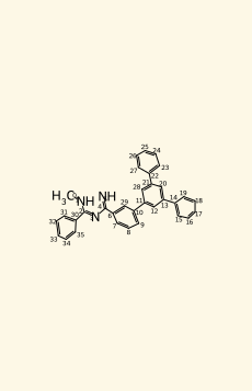 CN/C(=N\C(=N)c1cccc(-c2cc(-c3ccccc3)cc(-c3ccccc3)c2)c1)c1ccccc1